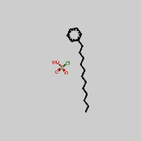 CCCCCCCCCCCCc1ccccc1.O=S(=O)(O)Cl